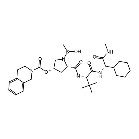 CNC(=O)[C@@H](NC(=O)[C@@H](NC(=O)[C@@H]1C[C@H](OC(=O)N2CCc3ccccc3C2)CN1B(C)O)C(C)(C)C)C1CCCCC1